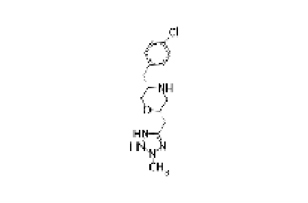 CN1N=C(C[C@H]2CN[C@@H](Cc3ccc(Cl)cc3)CO2)NN1